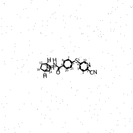 N#Cc1ccc(Sc2ccc(C(=O)N[C@@H]3C[C@H]4CC[C@@H]3N4)cc2)cn1